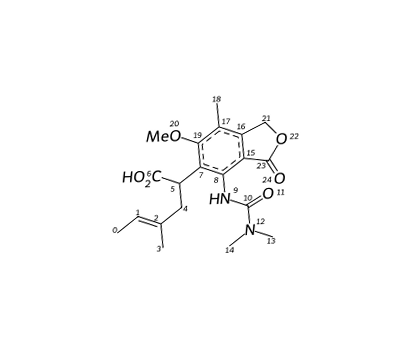 CC=C(C)CC(C(=O)O)c1c(NC(=O)N(C)C)c2c(c(C)c1OC)COC2=O